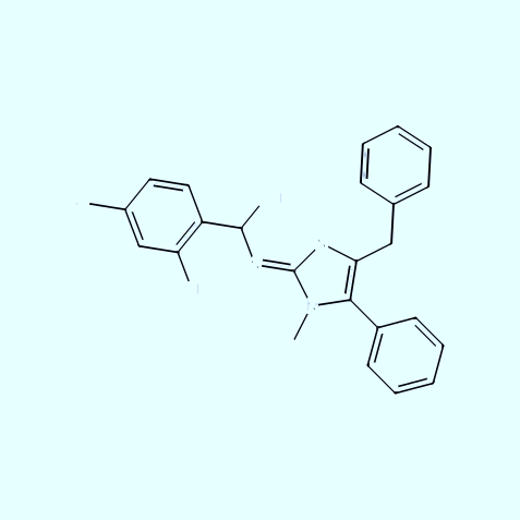 Cn1c(-c2ccccc2)c(Cc2ccccc2)[nH]/c1=N\C(O)c1ccc(Cl)cc1Cl